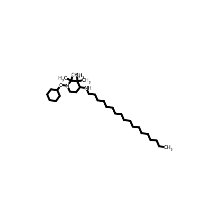 CCCCCCCCCCCCCCCCCCNC1CCN(OC2CCCCC2)C(C)(C)C1(C)C